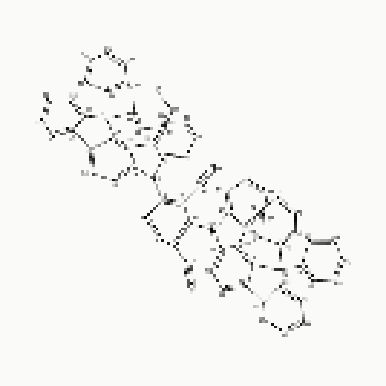 N#Cc1ccc(-n2c3ccccc3c3c4c(ccc32)-c2ccccc2C4(c2ccccc2)c2ccccc2)c(C#N)c1-n1c2ccccc2c2c3c(ccc21)-c1ccccc1C3(c1ccccc1)c1ccccc1